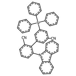 N#Cc1cc(-c2c(C#N)cccc2-n2c3ccccc3c3ccccc32)cc([Si](c2ccccc2)(c2ccccc2)c2ccccc2)c1